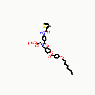 CCCCCCCOc1ccc(C(=O)Oc2ccc(CN(CC(=O)O)C(=O)c3ccc(NC(=O)c4sccc4C)cc3)cc2)cc1